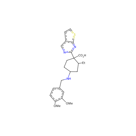 CCC1CC(NCc2ccc(OC)c(OC)c2)CCC1(C(=O)O)c1ncc2ccsc2n1